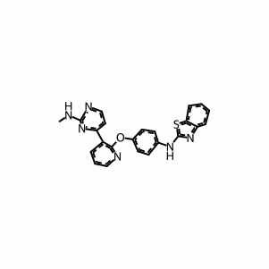 CNc1nccc(-c2cccnc2Oc2ccc(Nc3nc4ccccc4s3)cc2)n1